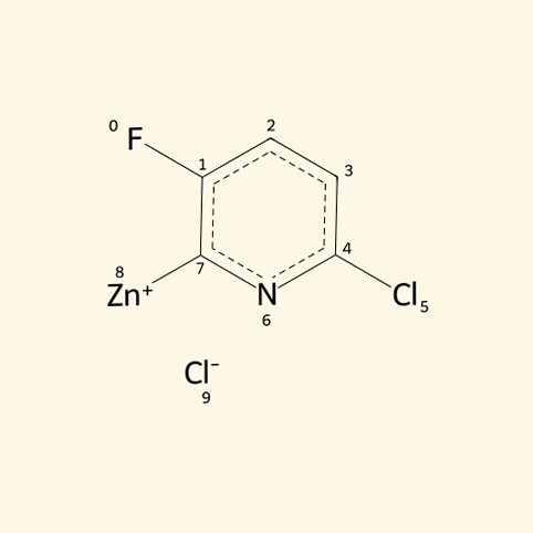 Fc1ccc(Cl)n[c]1[Zn+].[Cl-]